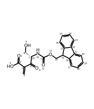 C=C(C(=O)O)C(=O)[C@H](CO)NC(=O)OCC1c2ccccc2-c2ccccc21